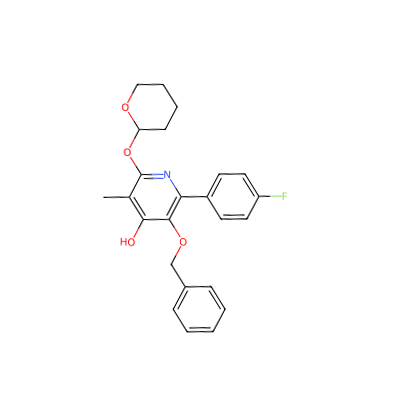 Cc1c(OC2CCCCO2)nc(-c2ccc(F)cc2)c(OCc2ccccc2)c1O